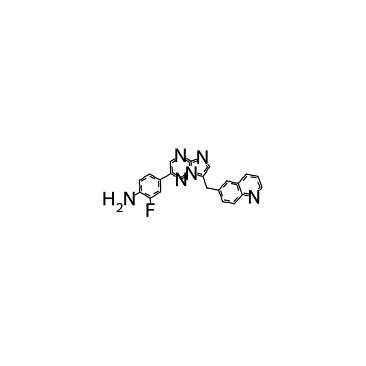 Nc1ccc(-c2cnc3ncc(Cc4ccc5ncccc5c4)n3n2)cc1F